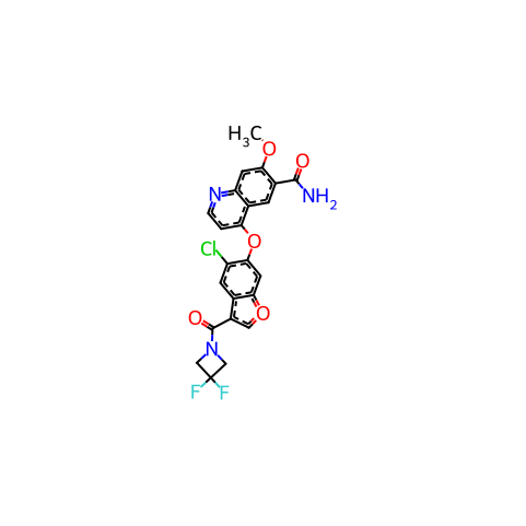 COc1cc2nccc(Oc3cc4occ(C(=O)N5CC(F)(F)C5)c4cc3Cl)c2cc1C(N)=O